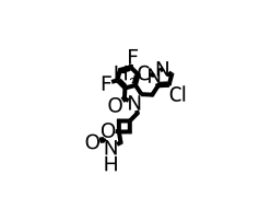 Cn1ncc(Cl)c1CC1c2cc(F)cc(F)c2C(=O)N1CC1CC2(CNC(=O)O2)C1